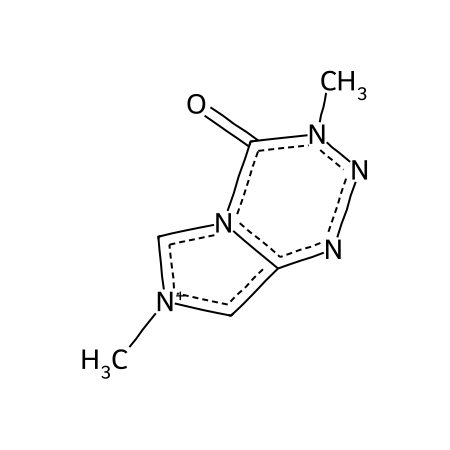 Cn1nnc2c[n+](C)cn2c1=O